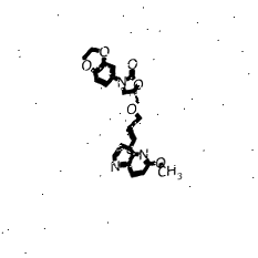 COc1ccc2nccc(C=CCOC[C@H]3CN(c4ccc5c(c4)OCCO5)C(=O)O3)c2n1